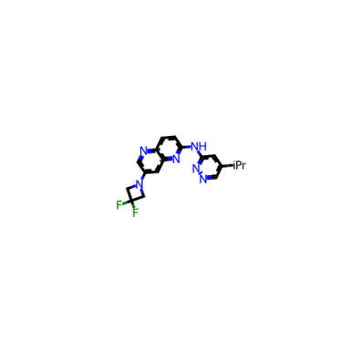 CC(C)c1cnnc(Nc2ccc3ncc(N4CC(F)(F)C4)cc3n2)c1